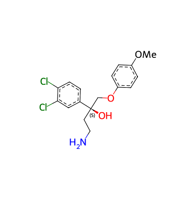 COc1ccc(OC[C@](O)(CCN)c2ccc(Cl)c(Cl)c2)cc1